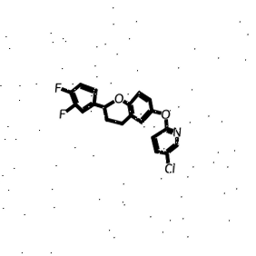 Fc1ccc(C2CCc3cc(Oc4ccc(Cl)cn4)ccc3O2)cc1F